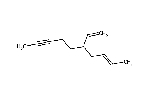 [CH2]C#CCCC(C=C)CC=CC